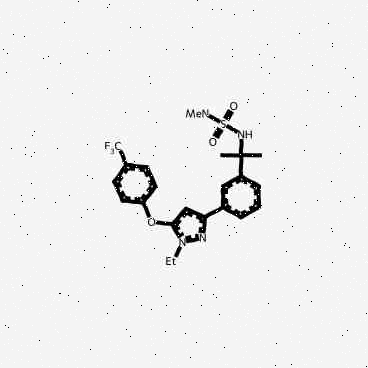 CCn1nc(-c2cccc(C(C)(C)NS(=O)(=O)NC)c2)cc1Oc1ccc(C(F)(F)F)cc1